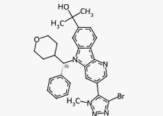 Cn1nnc(Br)c1-c1cnc2c3ccc(C(C)(C)O)cc3n([C@H](c3ccccc3)C3CCOCC3)c2c1